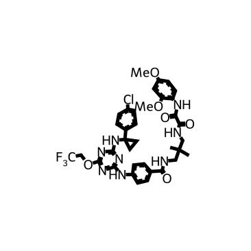 COc1ccc(NC(=O)C(=O)NCC(C)(C)CNC(=O)c2ccc(Nc3nc(NC4(c5ccc(Cl)cc5)CC4)nc(OCC(F)(F)F)n3)cc2)c(OC)c1